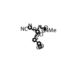 CNS(=O)(=O)CCN(C)Cc1cc(Cl)c(OCc2cccc(-c3ccc4c(c3)OCCO4)c2C)cc1OCc1cncc(C#N)c1